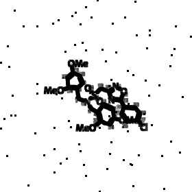 COc1ccc(CN(Cc2ccc(OC)cc2OC)S(=O)(=O)Cc2noc(-c3ccc(Cl)cc3)n2)c(OC)c1